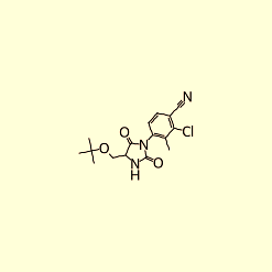 Cc1c(N2C(=O)NC(COC(C)(C)C)C2=O)ccc(C#N)c1Cl